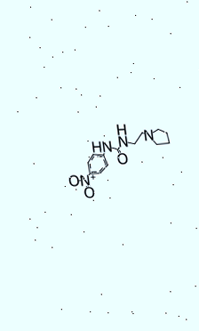 O=C(NCCN1CCCC1)Nc1ccc([N+](=O)[O-])cc1